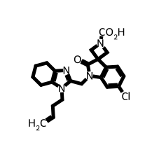 C=CCCn1c(CN2C(=O)C3(CN(C(=O)O)C3)c3ccc(Cl)cc32)nc2c1CCCC2